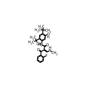 CN/C=C(\C(=O)Nc1cc(O)c(C(C)(C)C)cc1C(C)(C)C)C(=O)c1ccccc1F